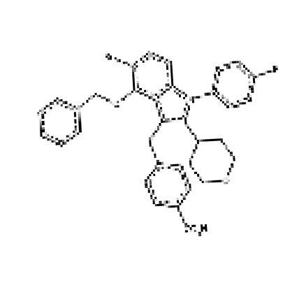 O=C(O)c1ccc(Cc2c(C3CCOCC3)n(-c3ccc(F)cc3)c3ccc(Br)c(OCc4ccccc4)c23)cc1